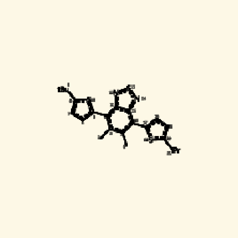 Cc1c(C)c(-c2ccc(C(C)(C)C)s2)c2nsnc2c1-c1ccc(C(C)C)s1